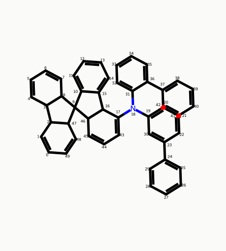 C1=CC2C3C=CC=CC3C3(c4ccccc4C4C(N(c5cccc(-c6ccccc6)c5)c5ccccc5-c5ccccc5)=CC=CC43)C2C=C1